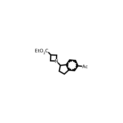 CCOC(=O)C1CN(C2CCc3cc(C(C)=O)ccc32)C1